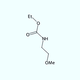 [CH2]COC(=O)NCCOC